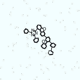 C1=CCCC(c2cccc(-c3ccc(-c4ccc5c(c4)oc4cccc(-c6nc(-c7ccccc7)nc(-c7ccccc7)n6)c45)c4oc5ccccc5c34)c2)=C1